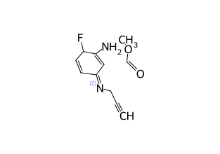 C#CC/N=C1/C=CC(F)C(N)=C1.COC=O